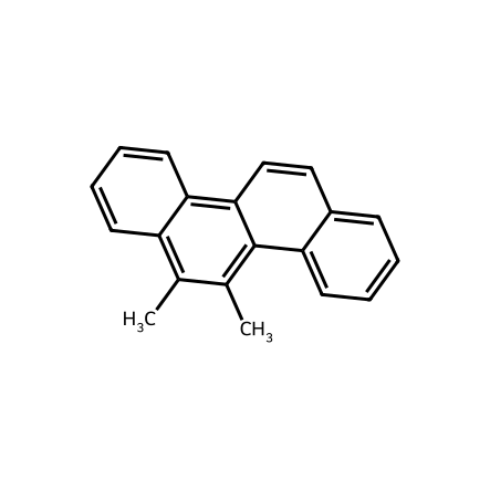 Cc1c(C)c2c3ccccc3ccc2c2ccccc12